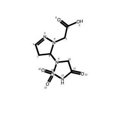 O=C(O)CN1N=CCC1N1CC(=O)NS1(=O)=O